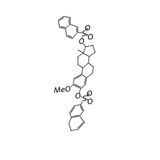 COc1cc2c(cc1OS(=O)(=O)c1ccc3c(c1)C=CCC3)CCC1C2CCC2(C)C(OS(=O)(=O)c3ccc4ccccc4c3)CCC12